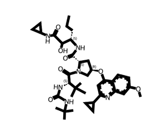 CCC[C@H](NC(=O)[C@@H]1C[C@@H](Oc2cc(C3CC3)nc3cc(OC)ccc23)CN1C(=O)[C@@H](NC(=O)NC(C)(C)C)C(C)(C)C)C(O)C(=O)NC1CC1